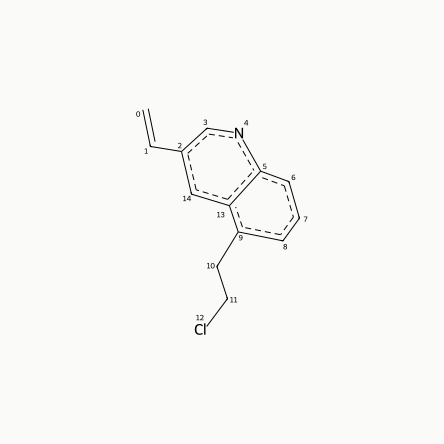 C=Cc1cnc2cccc(CCCl)c2c1